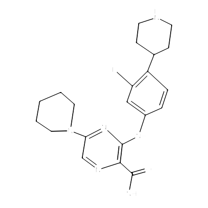 NC(=O)c1ncc(N2CCCCC2)nc1Nc1ccc(C2CCNCC2)c(F)c1